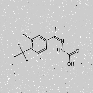 C/C(=N/NC(=O)O)c1ccc(C(F)(F)F)c(F)c1